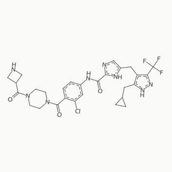 O=C(Nc1ccc(C(=O)N2CCN(C(=O)C3CNC3)CC2)c(Cl)c1)c1ncc(Cc2c(C(F)(F)F)n[nH]c2CC2CC2)[nH]1